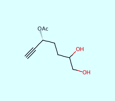 C#C[C@@H](CCC(O)CO)OC(C)=O